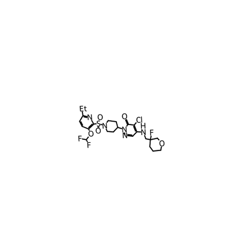 CCc1ccc(OC(F)F)c(S(=O)(=O)N2CCC(n3ncc(NCC4(F)CCCOC4)c(Cl)c3=O)CC2)n1